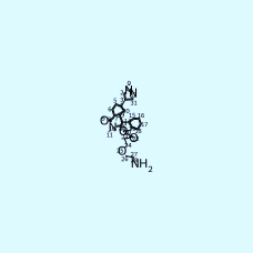 Cn1cc(-c2ccc3c(=O)n(C)cc(-c4ccccc4S(=O)(=O)CCOCCN)c3c2)cn1